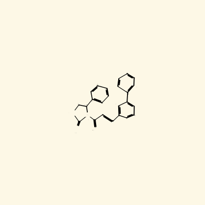 O=C(C=Cc1cccc(-c2ccccc2)c1)N1C(=O)OCC1c1ccccc1